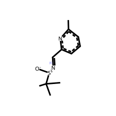 Cc1cccc(/C=N/[S+]([O-])C(C)(C)C)n1